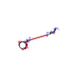 CO[C@H]1C[C@@H]2CC[C@@H](C)[C@@](O)(O2)C(=O)C(=O)N2CCCC[C@H]2C(=O)O[C@H]([C@H](N)C[C@@H]2CC[C@@H](OC(=O)NCCOCCOCCOCCOCCOCCOCCOCCOCCC(=O)NCCSc3ccc(C(=O)N4CCOc5ccc(-c6ccc(N)nc6)cc5C4)c(C)c3F)[C@H](OC)C2)CC[C@H](C)/C=C(\C)[C@@H](O)[C@@H](OC)C(=O)[C@H](C)C[C@H](C)/C=C/C=C/C=C/1C